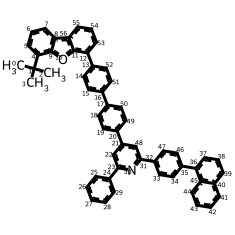 CC(C)(C)c1cccc2c1oc1c(-c3ccc(-c4ccc(-c5cc(-c6ccccc6)nc(-c6ccc(-c7cccc8ccccc78)cc6)c5)cc4)cc3)cccc12